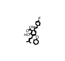 COC(=O)c1c(C=Cc2ccc(F)cc2)cc(OC2CCCCC2)c(CC=C(C)C)c1O